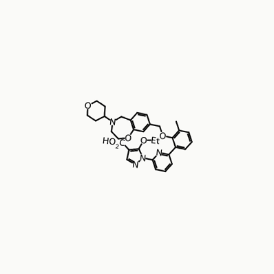 CCOc1c(C(=O)O)cnn1-c1cccc(-c2cccc(C)c2OCc2ccc3c(c2)OCCN(C2CCOCC2)C3)n1